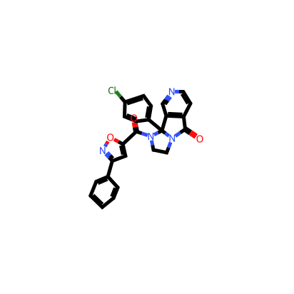 O=C(c1cc(-c2ccccc2)no1)N1CCN2C(=O)c3ccncc3C12c1ccc(Cl)cc1